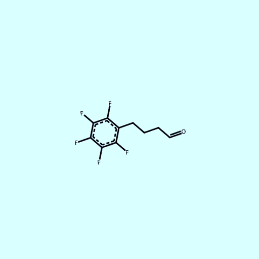 O=CCCCc1c(F)c(F)c(F)c(F)c1F